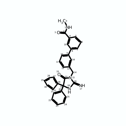 CNC(=O)c1cccc(-c2cccc(CN3C(=N)NC(c4ccccc4)(c4ccccc4)C3=O)c2)c1